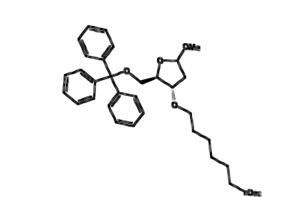 CCCCCCCCCCCCCCCCO[C@H]1CC(OC)O[C@@H]1COC(c1ccccc1)(c1ccccc1)c1ccccc1